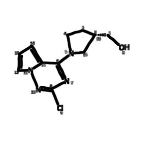 OC[C@H]1CCN(c2nc(Cl)nn3cccc23)C1